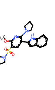 COc1nc(N2CCCC2)c(-c2cc3ccccc3[nH]2)cc1S(=O)(=O)N1CCC1